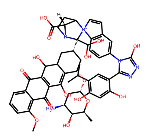 COc1cccc2c1C(=O)C1=C(C2=O)C(O)C2C[C@H](C3(C(O)O)N4CCC([C@H]4C(=O)O)[N+]34C=Cc3cc(-n5c(O)nnc5-c5cc(C(C)C)c(O)cc5O)ccc34)C[C@H](O[C@H]3C[C@H](N)[C@H](O)[C@H](C)O3)C2=C1O